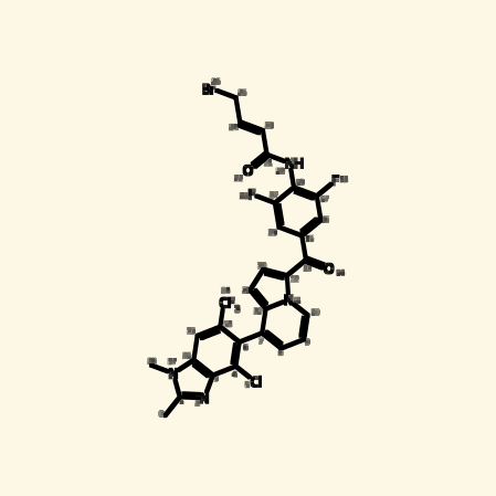 Cc1nc2c(Cl)c(-c3cccn4c(C(=O)c5cc(F)c(NC(=O)C=CCBr)c(F)c5)ccc34)c(C(F)(F)F)cc2n1C